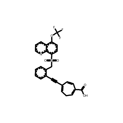 O=C(O)C1=CCC=C(C#Cc2ccccc2CS(=O)(=O)c2ccc(OC(F)(F)F)c3cccnc23)C=C1